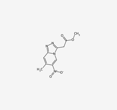 COC(=O)Cc1nnc2cc(C)c([N+](=O)[O-])cn12